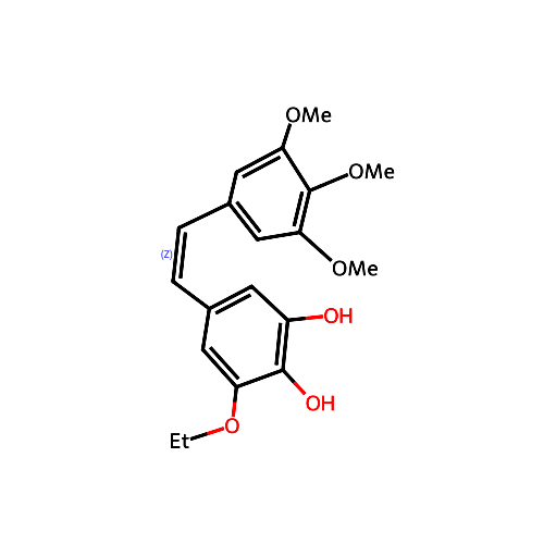 CCOc1cc(/C=C\c2cc(OC)c(OC)c(OC)c2)cc(O)c1O